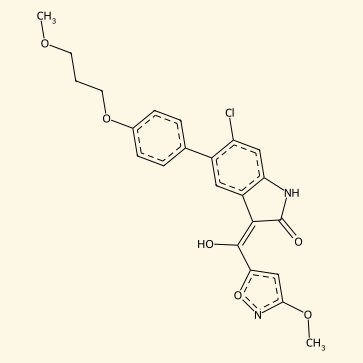 COCCCOc1ccc(-c2cc3c(cc2Cl)NC(=O)C3=C(O)c2cc(OC)no2)cc1